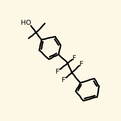 CC(C)(O)c1ccc(C(F)(F)C(F)(F)c2ccccc2)cc1